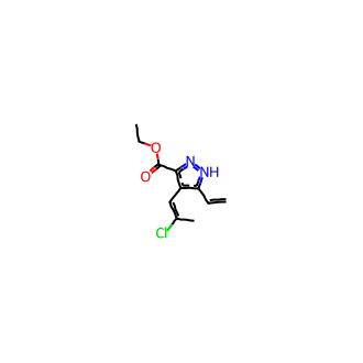 C=Cc1[nH]nc(C(=O)OCC)c1/C=C(\C)Cl